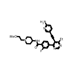 CCc1ncnc(-c2ccc(C(=O)NC3CCN(CCOC)CC3)c(F)c2)c1C#Cc1ccc(N)nc1